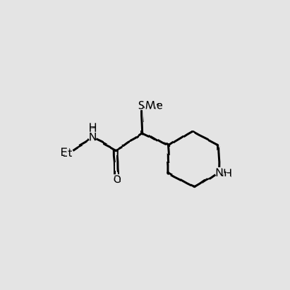 CCNC(=O)C(SC)C1CCNCC1